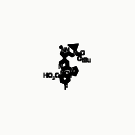 Cn1cc(-c2cnc([N+](=O)[O-])c(N3CCCC3c3cc(F)cc(C(=O)O)c3)c2)c(CN(C(=O)OC(C)(C)C)C2CC2)n1